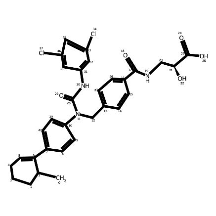 CC1CCCC=C1c1ccc(N(Cc2ccc(C(=O)NC[C@H](O)C(=O)O)cc2)C(=O)Nc2cc(Cl)cc(Cl)c2)cc1